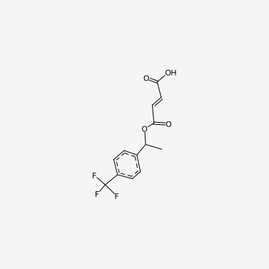 CC(OC(=O)/C=C/C(=O)O)c1ccc(C(F)(F)F)cc1